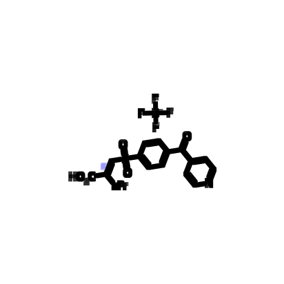 CCC/C(=C\S(=O)(=O)c1ccc(C(=O)c2ccncc2)cc1)C(=O)O.F[B-](F)(F)F